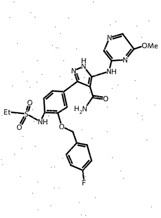 CCS(=O)(=O)Nc1ccc(-c2n[nH]c(Nc3cncc(OC)n3)c2C(N)=O)cc1OCc1ccc(F)cc1